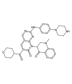 CN1CC(n2c(=O)c(C(=O)C3CCOCC3)cc3cnc(Nc4ccc(N5CCNCC5)cc4)nc32)C(=O)c2ccccc21